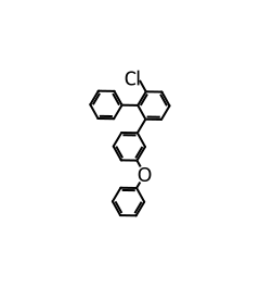 Clc1cccc(-c2cccc(Oc3ccccc3)c2)c1-c1ccccc1